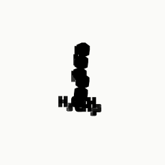 C[Si](C)(C)c1ccc(-c2ccc3cc(-c4ccc(-c5ccccn5)nc4)cnc3c2)cc1